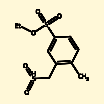 CCOS(=O)(=O)c1ccc(C)c(C[SH](=O)=O)c1